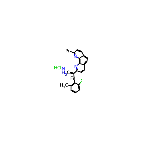 C=[C]([Fe][c]1c(C)cccc1Cl)c1ccc2ccc3ccc(C(C)C)nc3c2n1.Cl.N